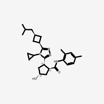 Cc1ccc(NC(=O)[C@H]2C[C@H](O)C[C@@H]2c2nnc([C@H]3C[C@@H](CC(C)C)C3)n2C2CC2)c(C)c1